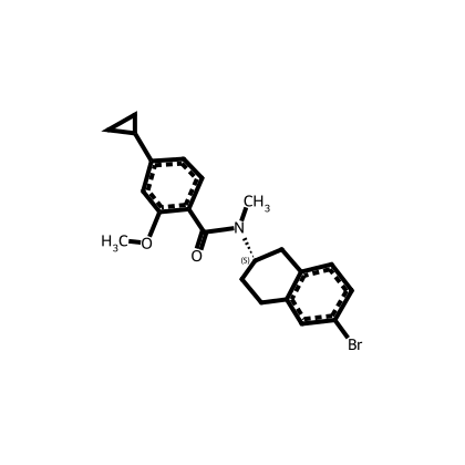 COc1cc(C2CC2)ccc1C(=O)N(C)[C@H]1CCc2cc(Br)ccc2C1